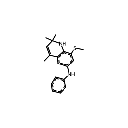 CSc1cc(Nc2ccccc2)cc2c1NC(C)(C)C=C2C